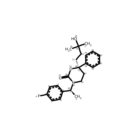 C[C@@H](c1ccc(F)cc1)N1CC[C@](CCC(C)(C)O)(c2ccccc2)OC1=O